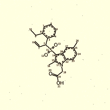 C=CC(c1ccccc1CC)S(=O)(=O)c1c(C)n(CC(=O)O)c2ccc(C)cc12